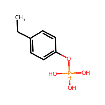 CCc1ccc(O[PH](O)(O)O)cc1